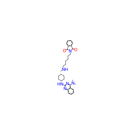 CN(C)c1nc(N[C@H]2CC[C@@H](CNCCCCCCN3C(=O)c4ccccc4C3=O)CC2)nc2ccccc12